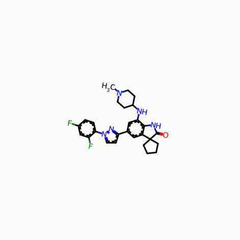 CN1CCC(Nc2cc(-c3ccn(-c4ccc(F)cc4F)n3)cc3c2NC(=O)C32CCCC2)CC1